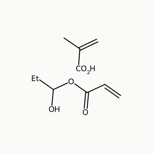 C=C(C)C(=O)O.C=CC(=O)OC(O)CC